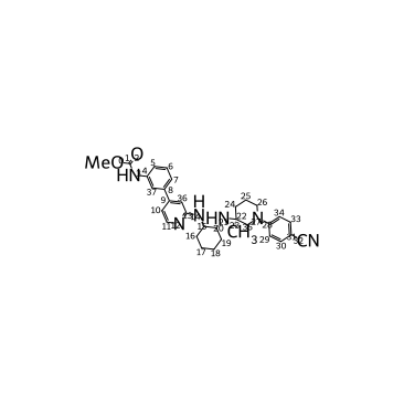 COC(=O)Nc1cccc(-c2ccnc(N[C@@H]3CCCC[C@H]3N[C@@]3(C)CCCN(c4ccc(C#N)cc4)C3)c2)c1